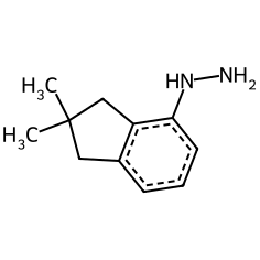 CC1(C)Cc2cccc(NN)c2C1